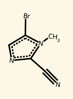 Cn1c(Br)cnc1C#N